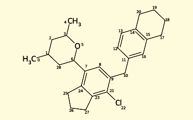 CC1CC(C)OC(c2cc(Cc3ccc4c(c3)CCCC4)c(Cl)c3c2CCC3)C1